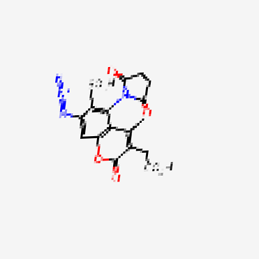 Cc1c(CC(=O)O)c(=O)oc2cc(N=[N+]=[N-])c(S(=O)(=O)O)c(N3C(=O)CCC3=O)c12